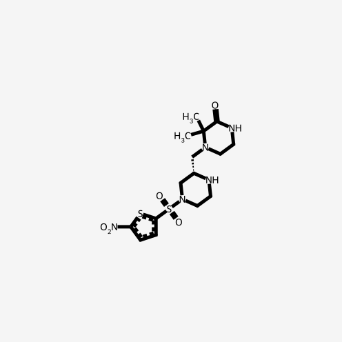 CC1(C)C(=O)NCCN1C[C@H]1CN(S(=O)(=O)c2ccc([N+](=O)[O-])s2)CCN1